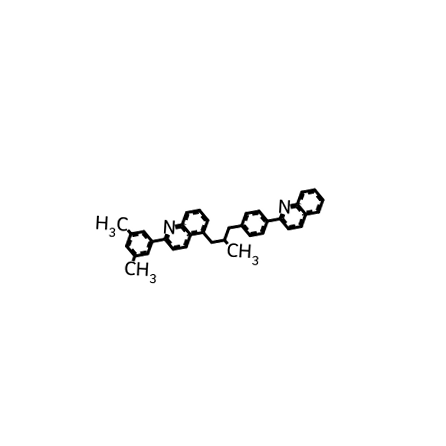 Cc1cc(C)cc(-c2ccc3c(CC(C)Cc4ccc(-c5ccc6ccccc6n5)cc4)cccc3n2)c1